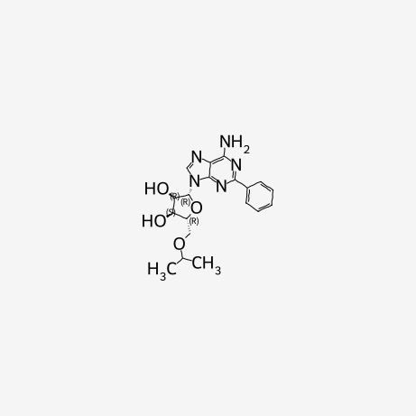 CC(C)OC[C@H]1O[C@@H](n2cnc3c(N)nc(-c4ccccc4)nc32)[C@H](O)[C@@H]1O